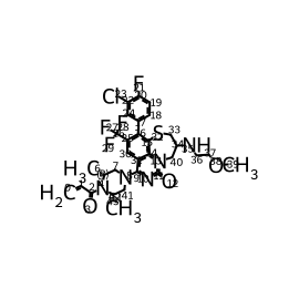 C=CC(=O)N1[C@H](C)CN(c2nc(=O)n3c4c(c(-c5ccc(F)c(Cl)c5)c(C(F)(F)F)cc24)SCC(NCCOC)C3)C[C@@H]1C